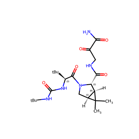 CC(C)(C)NC(=O)N[C@H](C(=O)N1C[C@H]2[C@@H]([C@H]1C(=O)NCC(=O)C(N)=O)C2(C)C)C(C)(C)C